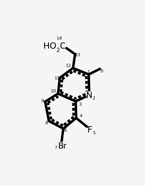 Cc1nc2c(F)c(Br)ccc2cc1CC(=O)O